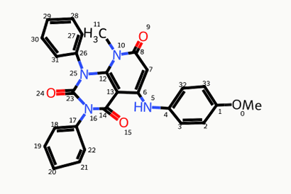 COc1ccc(Nc2cc(=O)n(C)c3c2c(=O)n(-c2ccccc2)c(=O)n3-c2ccccc2)cc1